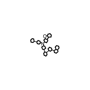 c1ccc(-c2ccc(N(c3ccc(-c4ccccc4-c4cccc(-c5cccc6ccccc56)c4)cc3)c3ccc4c(c3)oc3ccccc34)cc2)cc1